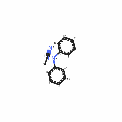 CC#N.c1ccc(Nc2ccccc2)cc1